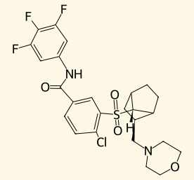 O=C(Nc1cc(F)c(F)c(F)c1)c1ccc(Cl)c(S(=O)(=O)[C@@H]2C3CCC2[C@@H](CN2CCOCC2)C3)c1